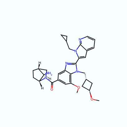 COc1cc(C(=O)N2C[C@H]3CC[C@@H]2[C@@H]3N)cc2nc(-c3cc4cccnc4n3CC3CC3)n(C[C@H]3C[C@H](OC)C3)c12